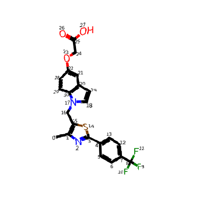 Cc1nc(-c2ccc(C(F)(F)F)cc2)sc1Cn1ccc2cc(OCC(=O)O)ccc21